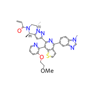 C=CC(=O)N1C[C@H](C)n2nc(-c3nc(-c4ccc5c(c4)ncn5C)c4ccsc4c3-c3ncccc3OCCOC)cc2[C@H]1C